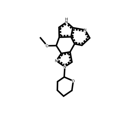 COC1c2nn(C3CCCCO3)cc2-c2ccnc3[nH]cc1c23